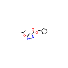 CC(C)Oc1cc(C(=O)OCc2ccccc2)ncn1